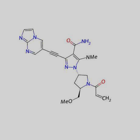 C=CC(=O)N1C[C@@H](n2nc(C#Cc3cnc4nccn4c3)c(C(N)=O)c2NC)C[C@@H]1COC